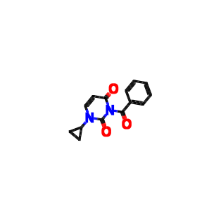 O=C(c1ccccc1)n1c(=O)ccn(C2CC2)c1=O